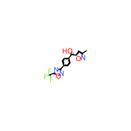 Cc1cc([C@@H](O)c2ccc(-c3noc(C(F)(F)F)n3)cc2)on1